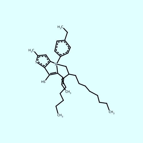 CC=CC1=C(S)c2sc(C)cc2[Si]1(CC(CCCCCC)CCCCCCCC)c1ccc(CC)cc1